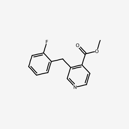 COC(=O)c1ccncc1Cc1ccccc1F